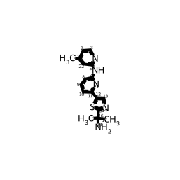 Cc1ccnc(Nc2cccc(-c3cnc(C(C)(C)N)s3)n2)c1